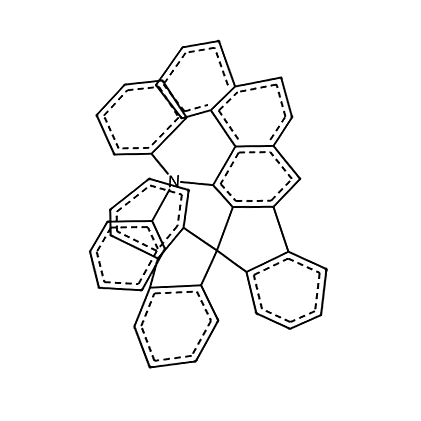 c1ccc(N(c2ccccc2)c2c3c(cc4ccc5ccccc5c24)-c2ccccc2C32c3ccccc3-c3ccccc32)cc1